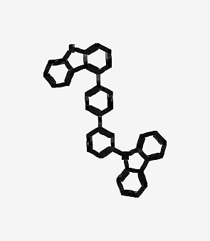 c1cc(-c2ccc(-c3cccc4sc5ccccc5c34)cc2)cc(-n2c3ccccc3c3ccccc32)c1